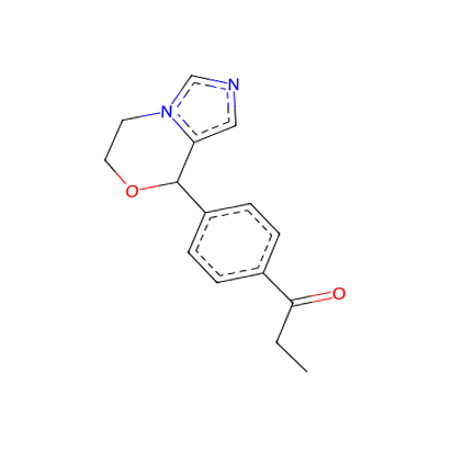 CCC(=O)c1ccc(C2OCCn3cncc32)cc1